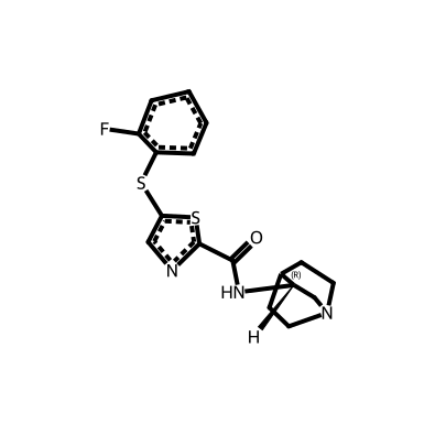 O=C(N[C@H]1CN2CCC1CC2)c1ncc(Sc2ccccc2F)s1